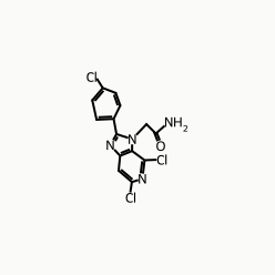 NC(=O)Cn1c(-c2ccc(Cl)cc2)nc2cc(Cl)nc(Cl)c21